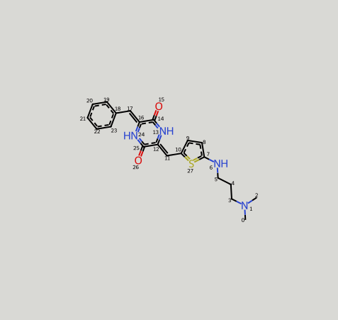 CN(C)CCCNc1ccc(/C=c2\[nH]c(=O)/c(=C/c3ccccc3)[nH]c2=O)s1